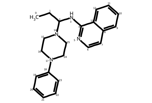 CCC(Nc1nccc2ccccc12)N1CCN(c2ccccc2)CC1